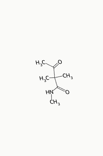 CNC(=O)C(C)(C)C(C)=O